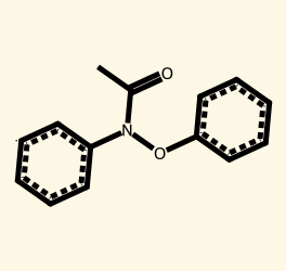 CC(=O)N(Oc1ccccc1)c1c[c]ccc1